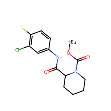 CC(C)(C)OC(=O)N1CCCCC1C(=O)Nc1ccc(F)c(Cl)c1